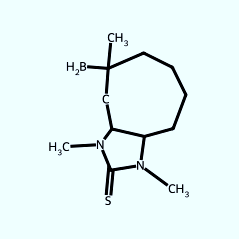 BC1(C)CCCCC2C(C1)N(C)C(=S)N2C